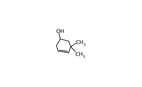 CC1(C)C=CCC(O)C1